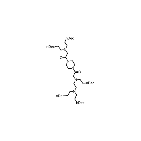 CCCCCCCCCCCCN(CCCCCCCCCCCC)CCN(CCCCCCCCCCCC)CC(=O)N1CCN(C(=O)CN(CCCCCCCCCCCC)CCCCCCCCCCCC)CC1